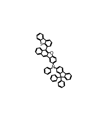 c1ccc(N(c2ccc3c(c2)C(c2ccccc2)(c2ccccc2)c2ccccc2-3)c2ccc3oc4c(-c5cccc6c5sc5ccccc56)c5ccccc5cc4c3c2)cc1